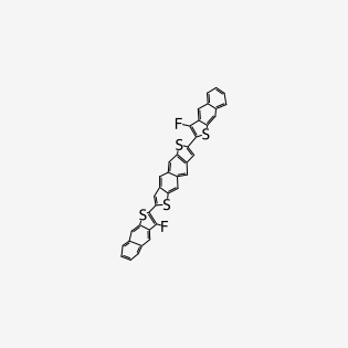 Fc1c(-c2cc3cc4cc5sc(-c6sc7cc8ccccc8cc7c6F)cc5cc4cc3s2)sc2cc3ccccc3cc12